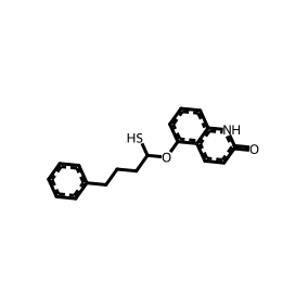 O=c1ccc2c(OC(S)CCCc3ccccc3)cccc2[nH]1